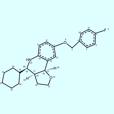 Fc1ccc(COc2ccc3c(c2)[C@H]2OCC[C@H]2[C@@H](C2CCCCC2)N3)cc1